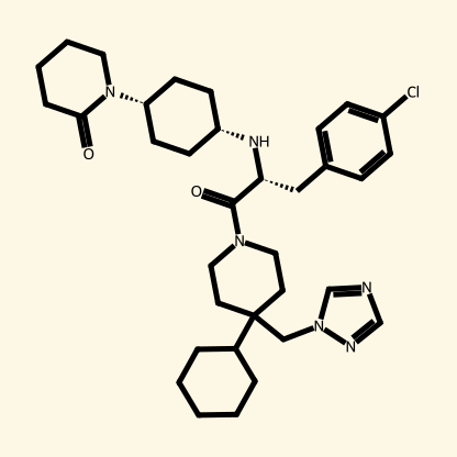 O=C([C@@H](Cc1ccc(Cl)cc1)N[C@H]1CC[C@@H](N2CCCCC2=O)CC1)N1CCC(Cn2cncn2)(C2CCCCC2)CC1